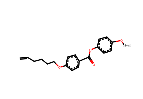 C=CCCCCOc1ccc(C(=O)Oc2ccc(OCCCCCC)cc2)cc1